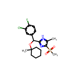 Cc1[nH]c(C(OC2(C)CCCCC2)c2ccc(F)c(Cl)c2)nc1S(C)(=O)=O